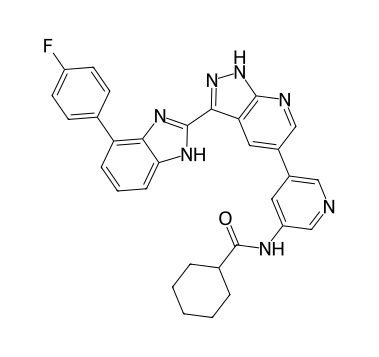 O=C(Nc1cncc(-c2cnc3[nH]nc(-c4nc5c(-c6ccc(F)cc6)cccc5[nH]4)c3c2)c1)C1CCCCC1